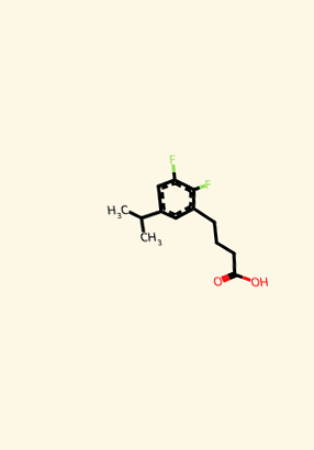 CC(C)c1cc(F)c(F)c(CCCC(=O)O)c1